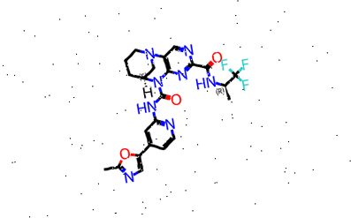 Cc1ncc(-c2ccnc(NC(=O)N3c4nc(C(=O)N[C@H](C)C(F)(F)F)ncc4N4CCC[C@H]3C4)c2)o1